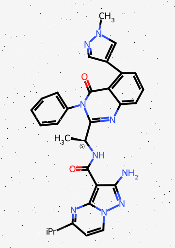 CC(C)c1ccn2nc(N)c(C(=O)N[C@@H](C)c3nc4cccc(-c5cnn(C)c5)c4c(=O)n3-c3ccccc3)c2n1